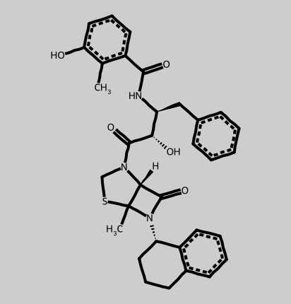 Cc1c(O)cccc1C(=O)N[C@@H](Cc1ccccc1)[C@H](O)C(=O)N1CSC2(C)[C@H]1C(=O)N2[C@H]1CCCc2ccccc21